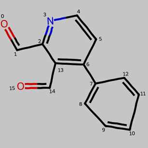 O=Cc1nccc(-c2ccccc2)c1C=O